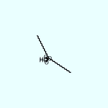 CCCCCCCCCCCCCCCCCCOC(CCCCCCCCCCCCCCCCCC)(CC(=O)O)C(=O)O